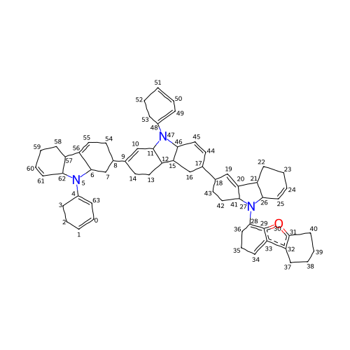 C1=CCCC(N2C3CC(C4=CC5C(CC4)C4CC(C6C=C7C8CCC=CC8N(C8=c9oc%10c(c9=CCC8)CCCC%10)C7CC6)C=CC4N5C4=CC=CCC4)CC=C3C3CCC=CC32)=C1